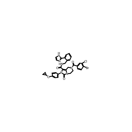 O=C(NCc1ccccc1-c1ncc[nH]1)c1c2n(c(=O)n1-c1ccc(OC3CC3)cc1)CCN(C(=O)c1ccc(Br)c(Cl)c1)C2